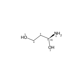 N[C@@H](O)CCO